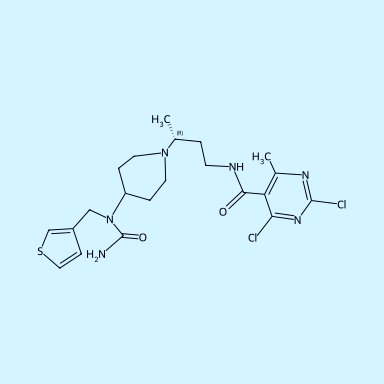 Cc1nc(Cl)nc(Cl)c1C(=O)NCC[C@@H](C)N1CCC(N(Cc2ccsc2)C(N)=O)CC1